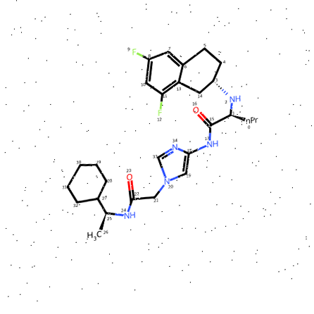 CCC[C@H](N[C@H]1CCc2cc(F)cc(F)c2C1)C(=O)Nc1cn(CC(=O)N[C@@H](C)C2CCCCC2)cn1